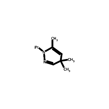 CC1=CC(C)(C)C=NN1C(C)C